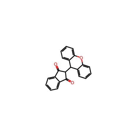 O=C1c2ccccc2C(=O)C1C1c2ccccc2Oc2ccccc21